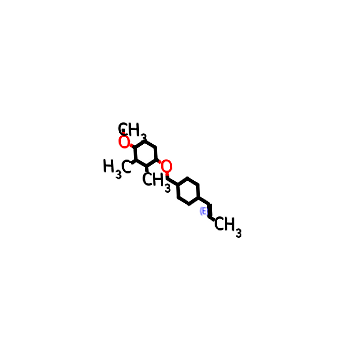 C/C=C/C1CCC(COC2CCC(OC)C(C)C2C)CC1